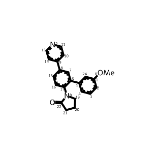 COc1cccc(-c2cc(-c3ccncc3)ccc2N2CCCC2=O)c1